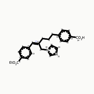 CCOC(=O)c1ccc(/C=C(/CCCc2ccc(C(=O)O)cc2)Cn2ccnc2)cc1